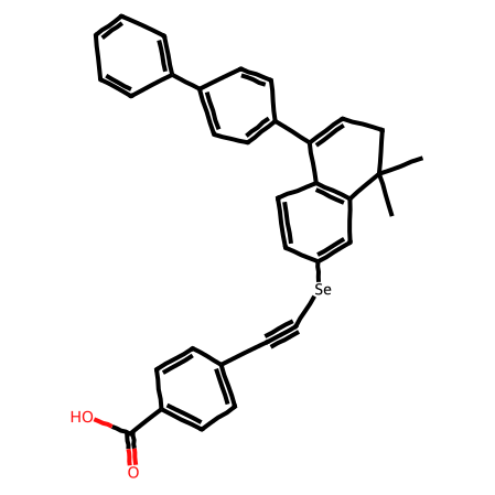 CC1(C)CC=C(c2ccc(-c3ccccc3)cc2)c2ccc([Se]C#Cc3ccc(C(=O)O)cc3)cc21